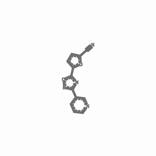 N#Cc1ccc(-c2nc(-c3cccnc3)no2)o1